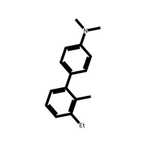 CCc1cccc(-c2ccc(N(C)C)cc2)c1C